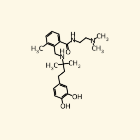 Cc1cccc(C(=O)NCCN(C)C)c1CNC(C)(C)CCc1ccc(O)c(O)c1